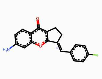 Nc1ccc2c(=O)c3c(oc2c1)/C(=C/c1ccc(F)cc1)CC3